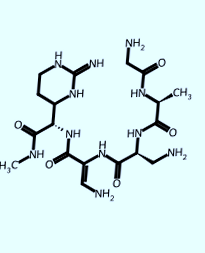 CNC(=O)[C@@H](NC(=O)/C(=C/N)NC(=O)[C@H](CN)NC(=O)[C@H](C)NC(=O)CN)C1CCNC(=N)N1